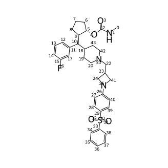 CNC(=O)O[C@H]1CCC[C@@H]1C(c1cccc(F)c1)C1CCN(CC2CN(c3ccc(S(=O)(=O)c4ccccc4)cc3)C2)CC1